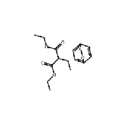 CCOC(=O)C(CC)C(=O)OCC.c1cc2ccc1CO2